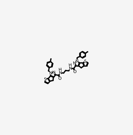 Cc1ccc(Cn2nc(C(=O)NCCCNC(=O)c3nn(Cc4ccc(C)cc4)c4c3Cc3ccsc3-4)c3c2-c2sccc2C3)cc1